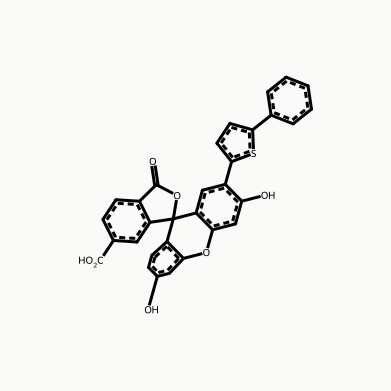 O=C(O)c1ccc2c(c1)C1(OC2=O)c2ccc(O)cc2Oc2cc(O)c(-c3ccc(-c4ccccc4)s3)cc21